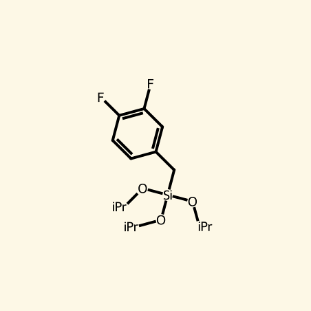 CC(C)O[Si](Cc1ccc(F)c(F)c1)(OC(C)C)OC(C)C